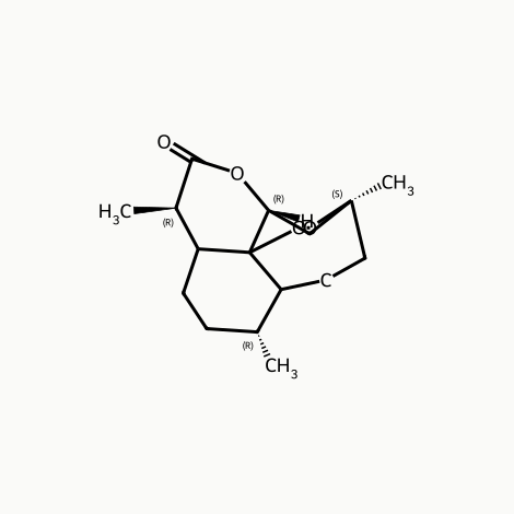 C[C@@H]1CCC2[C@@H](C)C(=O)O[C@@H]3C[C@]4(C)CCC1C23OO4